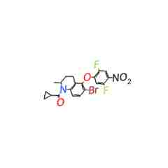 CC1CCc2c(ccc(Br)c2Oc2cc(F)c([N+](=O)[O-])cc2F)N1C(=O)C1CC1